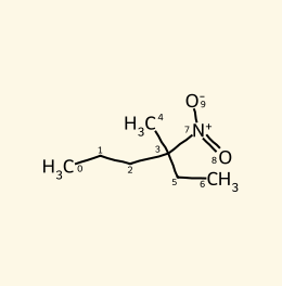 CCCC(C)(CC)[N+](=O)[O-]